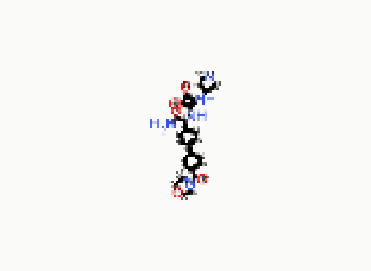 NC(=O)C(Nc1c(Nc2ccncc2)c(=O)c1=O)c1ccc(-c2ccc(C(=O)N3CCOCC3)cc2)cc1